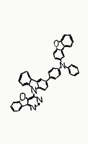 c1ccc(N(c2ccc(-c3ccc4c(c3)c3ccccc3n4-c3ncnc4c3oc3ccccc34)cc2)c2ccc3oc4ccccc4c3c2)cc1